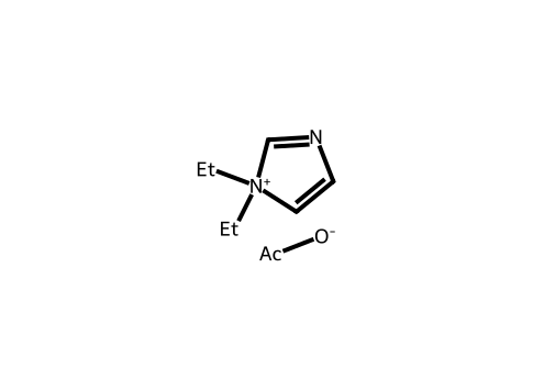 CC(=O)[O-].CC[N+]1(CC)C=CN=C1